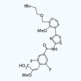 COC(=Cc1c(F)cc(C(=O)Nc2nc(-c3cccc(COCCC(C)(C)C)c3OC)cs2)cc1F)C(=O)O